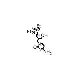 CCOP(=O)(/C=C/C(CO)Cn1ccc(N)nc1=O)OCC